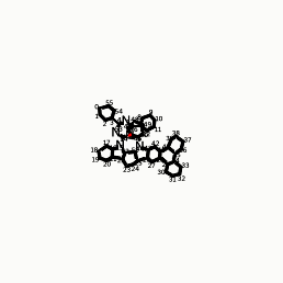 c1ccc(-c2nc(-c3ccccc3)nc(-n3c4ccccc4c4ccc5c6cc7c8ccccc8c8ccccc8c7cc6n(-c6ccccc6)c5c43)n2)cc1